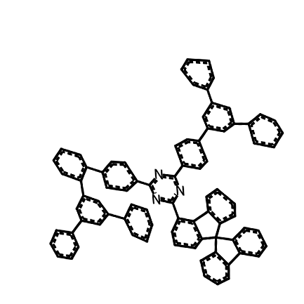 c1ccc(-c2cc(-c3ccccc3)cc(-c3ccc(-c4nc(-c5ccc(-c6ccccc6-c6cc(-c7ccccc7)cc(-c7ccccc7)c6)cc5)nc(-c5cccc6c5-c5ccccc5C65c6ccccc6-c6ccccc65)n4)cc3)c2)cc1